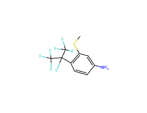 CSc1cc(N)ccc1C(F)(C(F)(F)F)C(F)(F)F